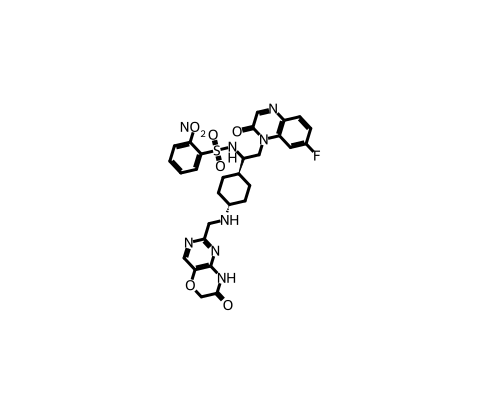 O=C1COc2cnc(CN[C@H]3CC[C@H](C(Cn4c(=O)cnc5ccc(F)cc54)NS(=O)(=O)c4ccccc4[N+](=O)[O-])CC3)nc2N1